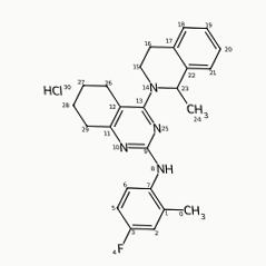 Cc1cc(F)ccc1Nc1nc2c(c(N3CCc4ccccc4C3C)n1)CCCC2.Cl